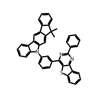 CC1(C)c2ccccc2-c2cc3c4ccccc4n(-c4cccc(-c5nc(-c6ccccc6)nc6c5sc5ccccc56)c4)c3cc21